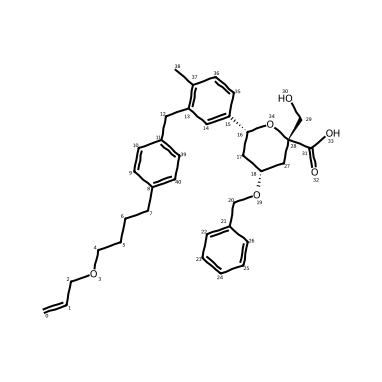 C=CCOCCCCc1ccc(Cc2cc([C@H]3C[C@@H](OCc4ccccc4)C[C@@](CO)(C(=O)O)O3)ccc2C)cc1